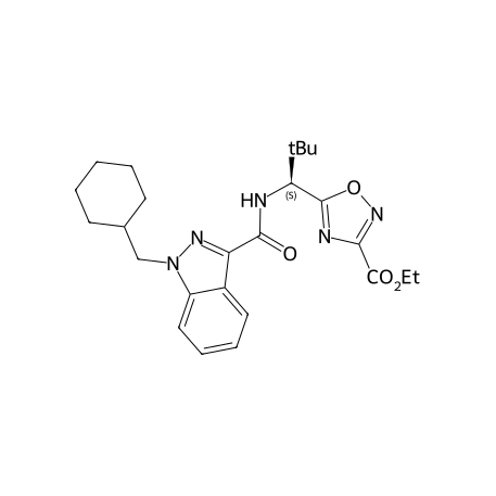 CCOC(=O)c1noc([C@@H](NC(=O)c2nn(CC3CCCCC3)c3ccccc23)C(C)(C)C)n1